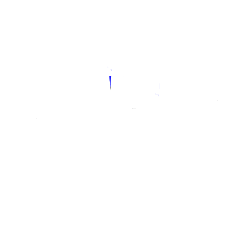 N[C@H](CCC(=O)O)C(=O)N[C@@H](CCC(=O)O)C(=O)O